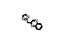 c1ccc2nc(Cn3nccn3)cnc2c1